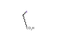 O=C(O)CCCCCCCC/C=C\CCI